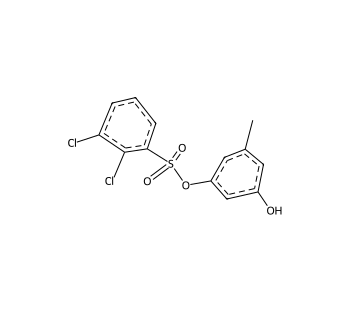 Cc1cc(O)cc(OS(=O)(=O)c2cccc(Cl)c2Cl)c1